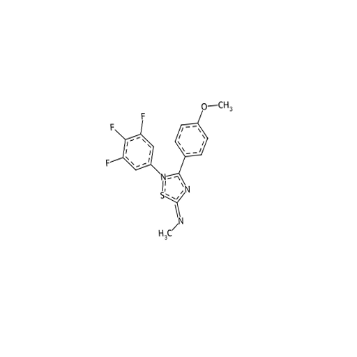 CN=c1nc(-c2ccc(OC)cc2)n(-c2cc(F)c(F)c(F)c2)s1